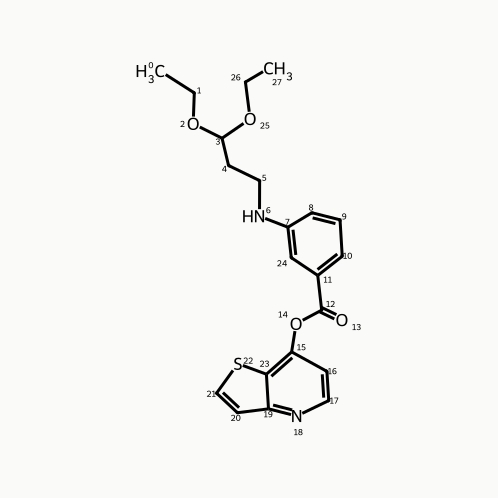 CCOC(CCNc1cccc(C(=O)Oc2ccnc3ccsc23)c1)OCC